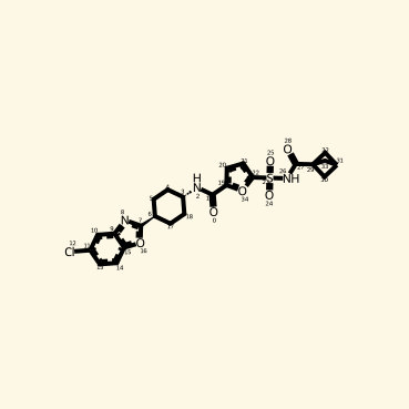 O=C(N[C@H]1CC[C@H](c2nc3cc(Cl)ccc3o2)CC1)c1ccc(S(=O)(=O)NC(=O)C23CC(C2)C3)o1